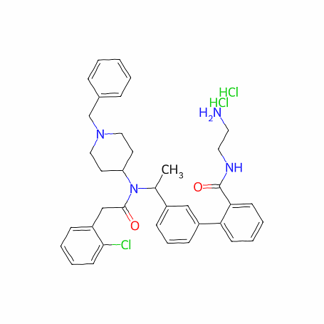 CC(c1cccc(-c2ccccc2C(=O)NCCN)c1)N(C(=O)Cc1ccccc1Cl)C1CCN(Cc2ccccc2)CC1.Cl.Cl